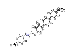 CCCC1CCC(/C=C/CCc2ccc(C3CCC(C4C=CC(OCC)CC4)CC3)c(F)c2F)CC1